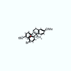 COc1ccc2c(c1)CCN(c1ccc(C(C)(C)C)cc1)C2(C)c1ccc(Br)cc1